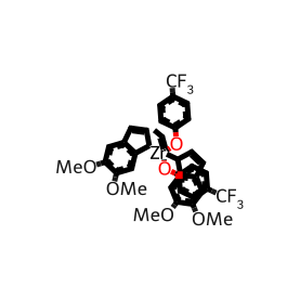 C[CH]=[Zr]([O]c1ccc(C(F)(F)F)cc1)([O]c1ccc(C(F)(F)F)cc1)([CH]1C=Cc2cc(OC)c(OC)cc21)[CH]1C=Cc2cc(OC)c(OC)cc21